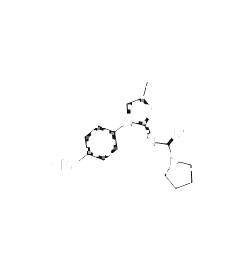 CCCCc1ccc(-n2cc(C)s/c2=N\C(=O)N2CCCC2)cc1